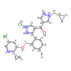 Cc1ncc(Br)cc1OCc1cc(F)ccc1-c1nn(Cl)cc1C(=O)c1cnn(CC2CC2)c1